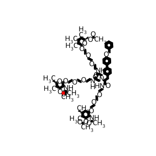 CC[C@H]1C[C@@H](OCCOCCOCCNC(=O)C(Cc2ccc(-c3ccc(OCc4ccccc4)cc3)cc2)N(CC(=O)NCCOCCOCCO[C@@H]2O[C@H](COC(C)=O)[C@H](C)[C@H](C)[C@H]2C)CC(=O)NCCOCCOCCO[C@@H]2O[C@H](CC)[C@H](C)[C@H](OC(C)=O)[C@H]2NC(C)=O)[C@H](NC(C)=O)[C@@H](OC(C)=O)[C@H]1C